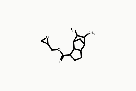 CC1C(C)C2CC1C1CCC(C(=O)OCC3CO3)C21